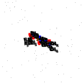 CCCN(C)S(=O)(=O)N1CC[C@H]2[C@H]1[C@H](C)C(=O)N2c1nc2ccc(N(C)S(=O)(=O)CC[Si](C)(C)C)cc2s1